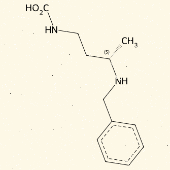 C[C@@H](CCNC(=O)O)NCc1ccccc1